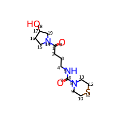 O=C(CCCNC(=O)N1CCSCC1)N1CCC(O)C1